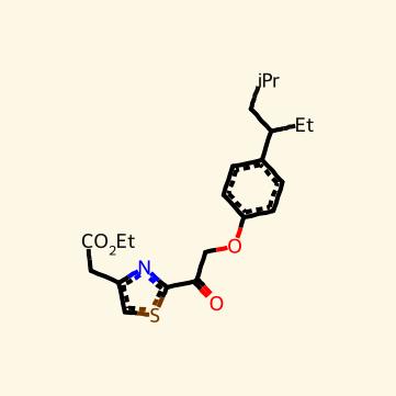 CCOC(=O)Cc1csc(C(=O)COc2ccc(C(CC)CC(C)C)cc2)n1